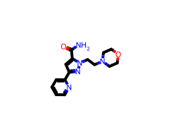 NC(=O)c1cc(-c2ccccn2)nn1CCN1CCOCC1